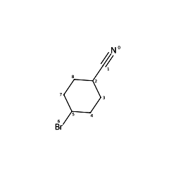 N#CC1CCC(Br)CC1